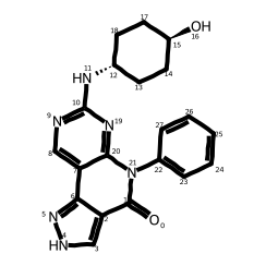 O=c1c2c[nH]nc2c2cnc(N[C@H]3CC[C@H](O)CC3)nc2n1-c1ccccc1